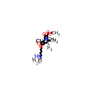 CCOC(=O)c1cn2c(cc1=O)-c1cc(OC)c(OCCCCCNSC)cc1CC2C(C)(C)C